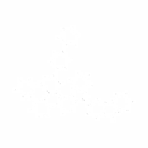 c1ccc(-c2ccc(-c3cc(-c4ccccc4-c4ccccc4)nc(-c4cccc5c4c4ccccc4n5-c4ccc5sc6ccccc6c5c4)n3)cc2)cc1